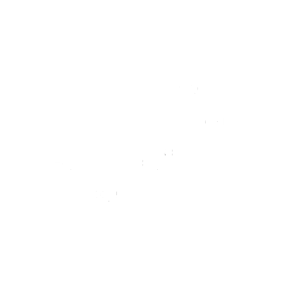 NC(c1ccccc1C(N)C(C(=O)O)C(=O)O)C(C(=O)O)C(=O)O